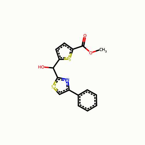 COC(=O)c1ccc(C(O)c2nc(-c3ccccc3)cs2)s1